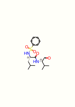 CC(C)C[C@H](NS(=O)(=O)c1ccccc1)C(=O)N[C@H](C=O)C(C)C